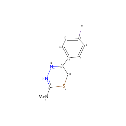 CNC1=NN=C(c2ccc(I)cc2)CS1